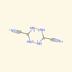 N#CC1NNC(C#N)NN1